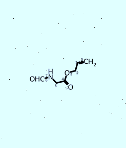 C=CCOC(=O)CNC=O